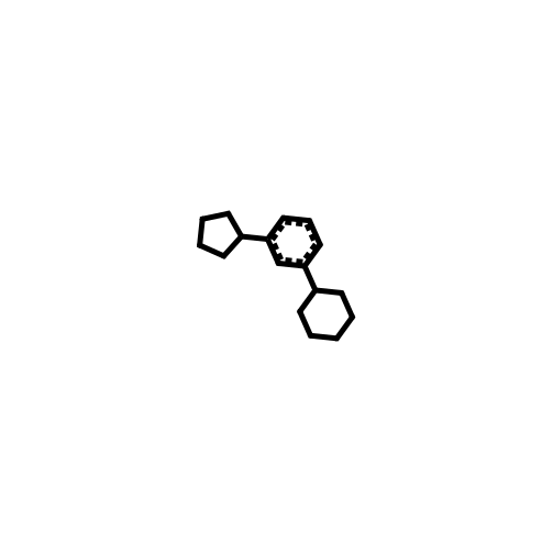 c1cc(C2CCCCC2)cc(C2CCCC2)c1